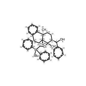 CC(C)(C)[Si](CO[C@@]1(C)[C@H](C(O)c2ccccc2)CC[C@]2(C)c3ccccc3CC[C@@H]12)(c1ccccc1)c1ccccc1